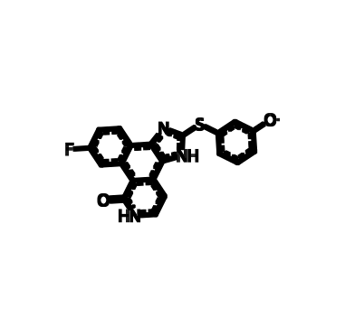 [O]c1cccc(Sc2nc3c4ccc(F)cc4c4c(=O)[nH]ccc4c3[nH]2)c1